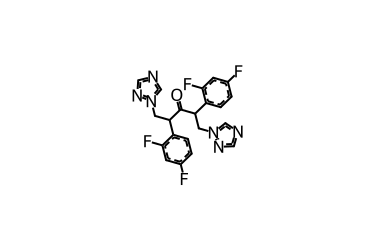 O=C(C(Cn1cncn1)c1ccc(F)cc1F)C(Cn1cncn1)c1ccc(F)cc1F